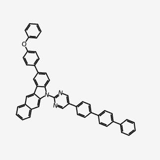 c1ccc(Oc2ccc(-c3ccc4c(c3)c3cc5ccccc5cc3n4-c3ncc(-c4ccc(-c5ccc(-c6ccccc6)cc5)cc4)cn3)cc2)cc1